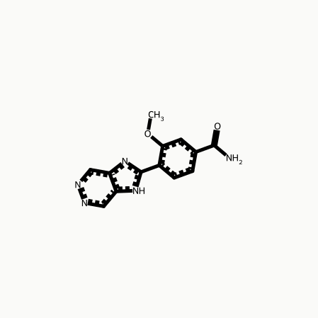 COc1cc(C(N)=O)ccc1-c1nc2cnncc2[nH]1